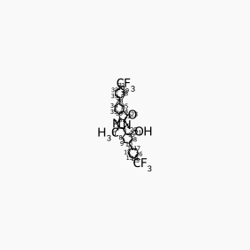 Cc1nc2c(nc1-c1ccc(-c3ccc(C(F)(F)F)cc3)cc1CO)C(=O)c1cc(-c3ccc(C(F)(F)F)cc3)ccc1-2